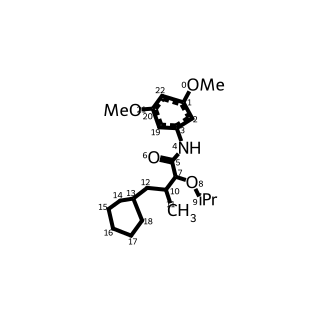 COc1cc(NC(=O)C(OC(C)C)C(C)CC2CCCCC2)cc(OC)c1